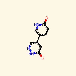 O=c1ccc(-c2[c]n[nH]c(=O)c2)c[nH]1